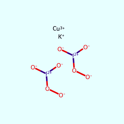 [Cu+3].[K+].[O-]O[I+2]([O-])[O-].[O-]O[I+2]([O-])[O-]